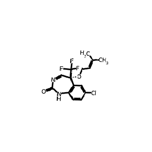 CC(C)=CCO[C@@]1(C(F)(F)F)C=NC(=O)Nc2ccc(Cl)cc21